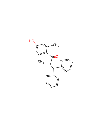 Cc1cc(O)cc(C)c1C(=O)CC(c1ccccc1)c1ccccc1